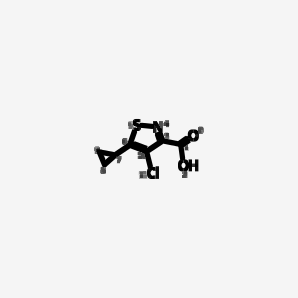 O=C(O)c1nsc(C2CC2)c1Cl